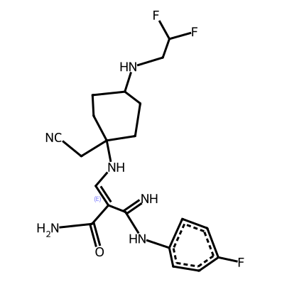 N#CCC1(N/C=C(\C(=N)Nc2ccc(F)cc2)C(N)=O)CCC(NCC(F)F)CC1